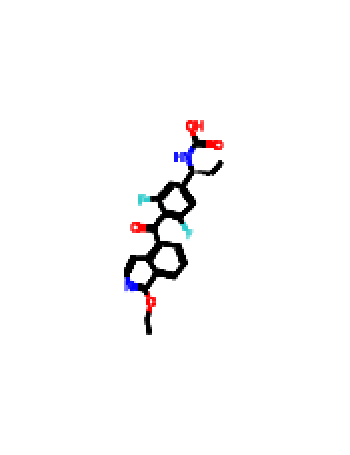 CCOc1nccc2c(C(=O)c3c(F)cc([C@@H](CC)NC(=O)O)cc3F)cccc12